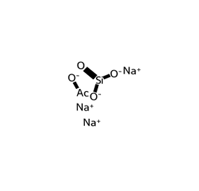 O=[Si]([O-])[O-].[CH2]C(=O)[O-].[Na+].[Na+].[Na+]